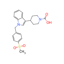 CS(=O)(=O)c1ccc(Cn2cc(C3CCN(C(=O)O)CC3)c3ccccc32)cc1